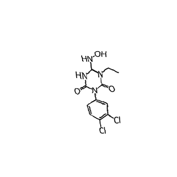 CCN1C(=O)N(c2ccc(Cl)c(Cl)c2)C(=O)NC1NO